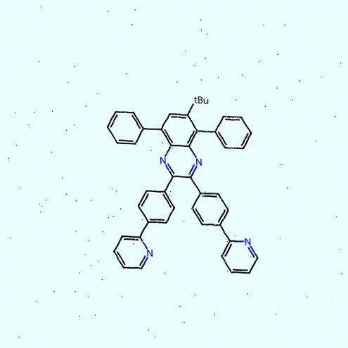 CC(C)(C)c1cc(-c2ccccc2)c2nc(-c3ccc(-c4ccccn4)cc3)c(-c3ccc(-c4ccccn4)cc3)nc2c1-c1ccccc1